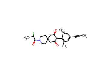 CC#Cc1cc(C)c(C2C(=O)CC3(CCN(C(=O)C(C)F)CC3)CC2=O)c(C)c1